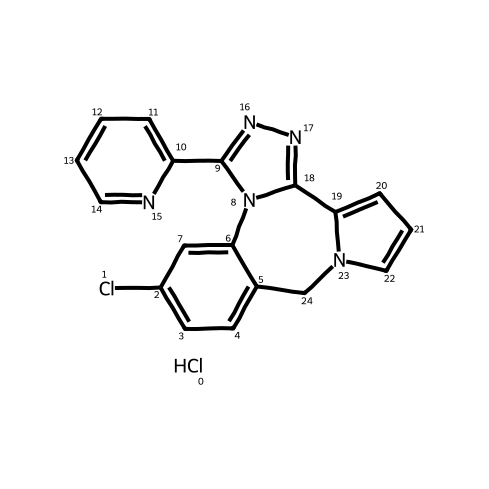 Cl.Clc1ccc2c(c1)-n1c(-c3ccccn3)nnc1-c1cccn1C2